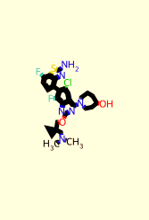 CN(C)CC1(COc2nc(N3CCCC(O)CC3)c3cc(Cl)c(-c4ccc(F)c5sc(N)nc45)c(F)c3n2)CC1